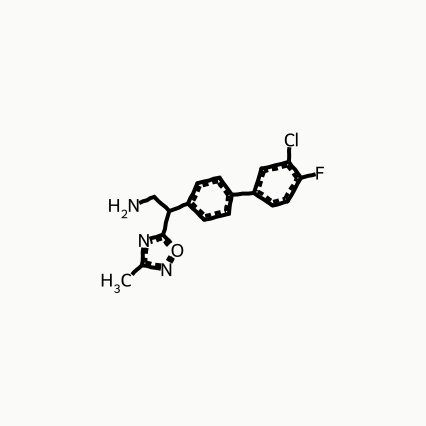 Cc1noc(C(CN)c2ccc(-c3ccc(F)c(Cl)c3)cc2)n1